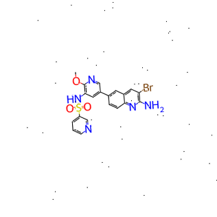 COc1ncc(-c2ccc3nc(N)c(Br)cc3c2)cc1NS(=O)(=O)c1cccnc1